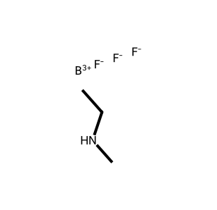 CCNC.[B+3].[F-].[F-].[F-]